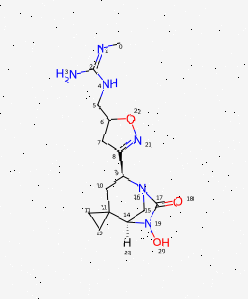 C/N=C(/N)NCC1CC([C@@H]2CC3(CC3)[C@H]3CN2C(=O)N3O)=NO1